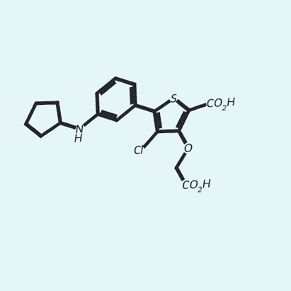 O=C(O)COc1c(C(=O)O)sc(-c2cccc(NC3CCCC3)c2)c1Cl